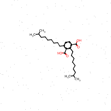 CC(C)CCCCCCCc1ccc(C(=O)O)c(CCCCCCCC(C)C)c1C(=O)O